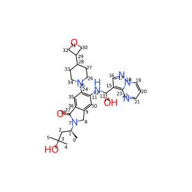 C[C@@H](CC(C)(C)O)N1Cc2cc(NC(O)c3cnn4cccnc34)c(N3CCC(C4COC4)CC3)cc2C1=O